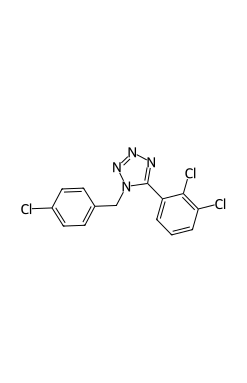 Clc1ccc(Cn2nnnc2-c2cccc(Cl)c2Cl)cc1